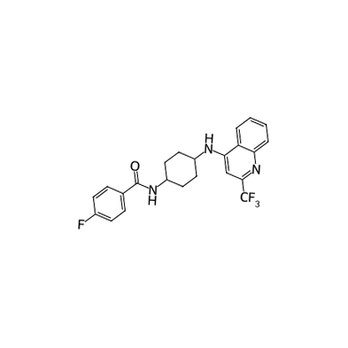 O=C(NC1CCC(Nc2cc(C(F)(F)F)nc3ccccc23)CC1)c1ccc(F)cc1